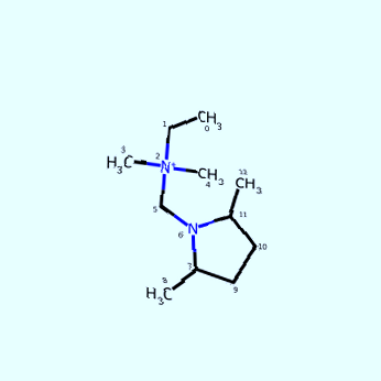 CC[N+](C)(C)CN1C(C)CCC1C